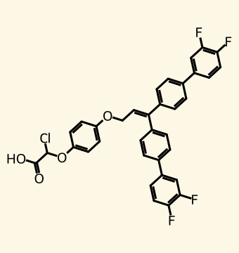 O=C(O)C(Cl)Oc1ccc(OCC=C(c2ccc(-c3ccc(F)c(F)c3)cc2)c2ccc(-c3ccc(F)c(F)c3)cc2)cc1